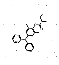 CCC(C)C(=O)Oc1c(C)cc([S+](c2ccccc2)c2ccccc2)cc1C